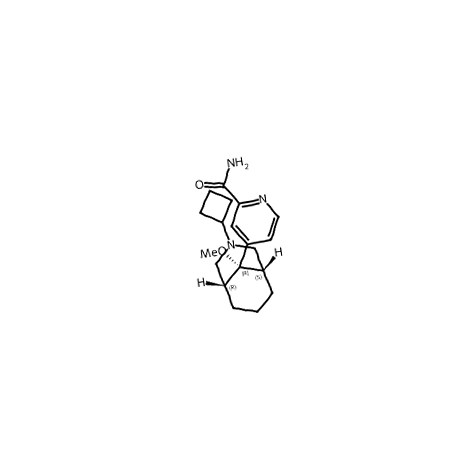 CO[C@@]1(c2ccnc(C(N)=O)c2)[C@@H]2CCC[C@H]1CN(C1CCC1)C2